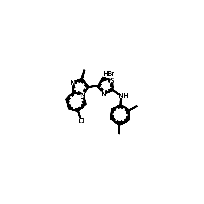 Br.Cc1ccc(Nc2nc(-c3c(C)nc4ccc(Cl)cn34)cs2)c(C)c1